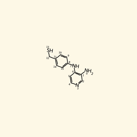 Nc1cnccc1Nc1ccc(CS)cc1